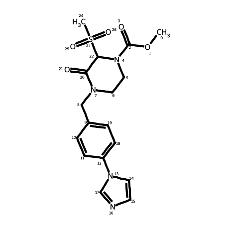 COC(=O)N1CCN(Cc2ccc(-n3ccnc3)cc2)C(=O)C1S(C)(=O)=O